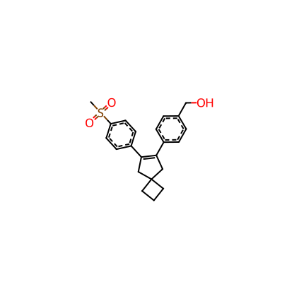 CS(=O)(=O)c1ccc(C2=C(c3ccc(CO)cc3)CC3(CCC3)C2)cc1